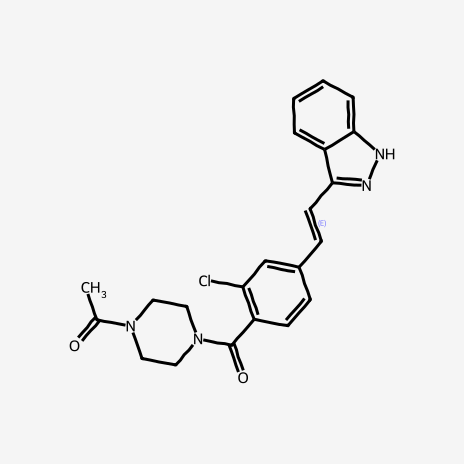 CC(=O)N1CCN(C(=O)c2ccc(/C=C/c3n[nH]c4ccccc34)cc2Cl)CC1